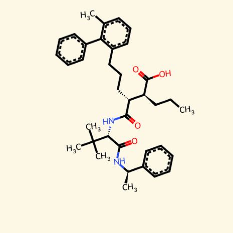 CCC[C@H](C(=O)O)[C@@H](CCCc1cccc(C)c1-c1ccccc1)C(=O)N[C@H](C(=O)N[C@H](C)c1ccccc1)C(C)(C)C